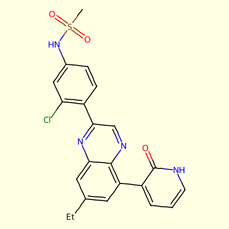 CCc1cc(-c2ccc[nH]c2=O)c2ncc(-c3ccc(NS(C)(=O)=O)cc3Cl)nc2c1